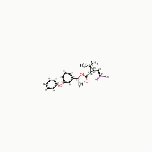 CC1(C)[C@H](C(=O)O[C@H](C#N)c2cccc(Oc3ccccc3)c2)[C@@H]1C=C(I)I